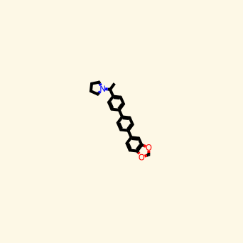 CC(c1ccc(-c2ccc(-c3ccc4c(c3)OCO4)cc2)cc1)N1CCCC1